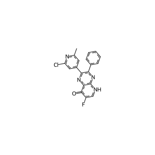 Cc1cc(-c2nc3c(=O)c(F)c[nH]c3nc2-c2ccccc2)cc(Cl)n1